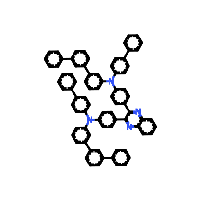 c1ccc(-c2ccc(N(c3ccc(-c4nc5ccccc5nc4-c4ccc(N(c5ccc(-c6ccccc6)cc5)c5cccc(-c6cccc(-c7ccccc7)c6)c5)cc4)cc3)c3cccc(-c4cccc(-c5ccccc5)c4)c3)cc2)cc1